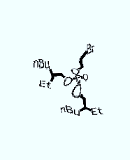 CCCCC(CC)COP(=O)(OCCBr)OCC(CC)CCCC